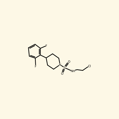 O=S(=O)(NCCCl)N1CCC(c2c(F)cccc2F)CC1